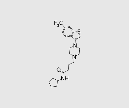 O=C(CCCN1CCN(c2csc3cc(C(F)(F)F)ccc23)CC1)NC1CCCC1